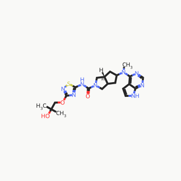 CN(c1ncnc2[nH]ccc12)C1CC2CN(C(=O)Nc3nc(OCC(C)(C)O)ns3)C[C@@H]2C1